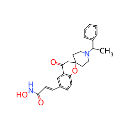 CC(c1ccccc1)N1CCC2(CC1)CC(=O)c1cc(C=CC(=O)NO)ccc1O2